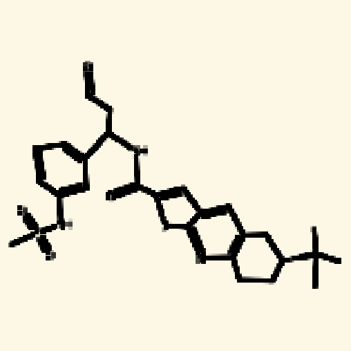 CC(C)(C)[C@H]1CCc2nc3sc(C(=O)NC(CC=O)c4cccc(NS(C)(=O)=O)c4)cc3cc2C1